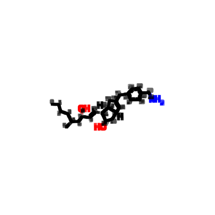 CCCC[C@H](C)C[C@H](O)/C=C/[C@@H]1[C@H]2CC(Cc3ccc(CN)cc3)=C[C@H]2C[C@H]1O